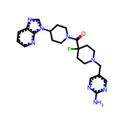 Nc1ncc(CN2CCC(F)(C(=O)N3CCC(n4cnc5cccnc54)CC3)CC2)cn1